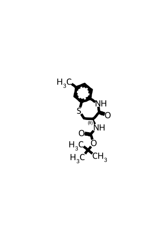 Cc1ccc2c(c1)SC[C@H](NC(=O)OC(C)(C)C)C(=O)N2